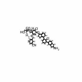 C[C@@](CO)(NCc1cc(Cl)c(O[C@H]2CCc3c(-c4cccc(-c5ccc6c(c5)CC(N)C6)c4Cl)cccc32)nc1OCc1cncc(C#N)c1)C(=O)O